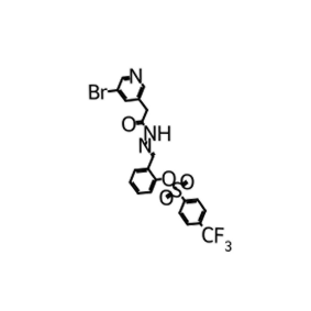 O=C(Cc1cncc(Br)c1)N/N=C/c1ccccc1OS(=O)(=O)c1ccc(C(F)(F)F)cc1